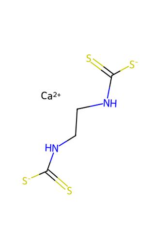 S=C([S-])NCCNC(=S)[S-].[Ca+2]